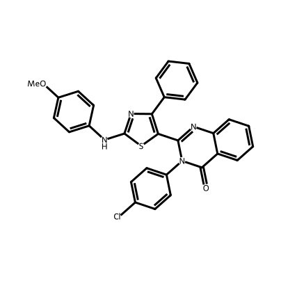 COc1ccc(Nc2nc(-c3ccccc3)c(-c3nc4ccccc4c(=O)n3-c3ccc(Cl)cc3)s2)cc1